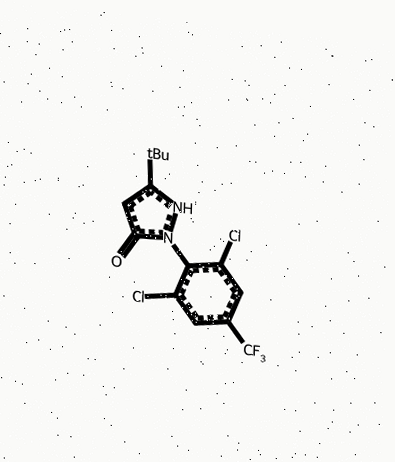 CC(C)(C)c1cc(=O)n(-c2c(Cl)cc(C(F)(F)F)cc2Cl)[nH]1